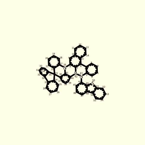 c1ccc2c(c1)-c1c3c(cc4ccccc14)N1c4ccccc4C4(c5ccccc5-c5ccccc54)c4cccc(c41)B3N2c1cccc2c1sc1ccccc12